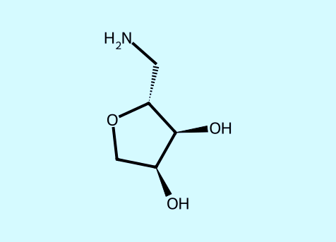 NC[C@H]1OC[C@H](O)[C@@H]1O